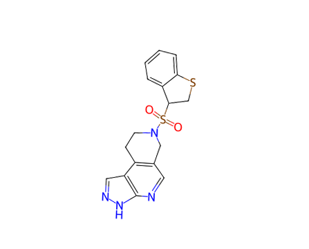 O=S(=O)(C1CSc2ccccc21)N1CCc2c(cnc3[nH]ncc23)C1